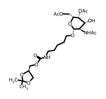 CC(=O)N[C@H]1[C@H](OCCCCCNC(=O)OC[C@H]2COC(C)(C)O2)O[C@H](COC(C)=O)[C@H](OC(C)=O)[C@@H]1O